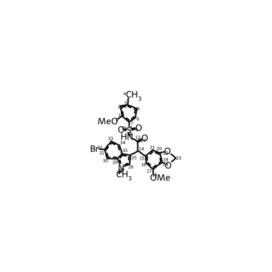 COc1cc(C)ccc1S(=O)(=O)NC(=O)C(c1cc(OC)c2c(c1)OCO2)c1cn(C)c2cc(Br)ccc12